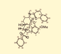 COc1ccc2c3c1O[C@H]1[C@H](N(C)C(=O)/C=C\c4ccccc4)CC[C@@]4(O)[C@@H](C2)N(S(=O)(=O)c2ccccc2)CC[C@]314